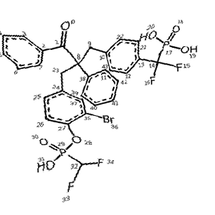 O=C(c1ccccc1)C(Cc1ccc(C(F)(F)P(=O)(O)O)cc1)(Cc1ccc(OP(=O)(O)C(F)F)c(Br)c1)c1ccccc1